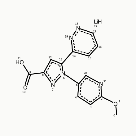 COc1ccc(-n2nc(C(=O)O)cc2-c2cccnn2)cn1.[LiH]